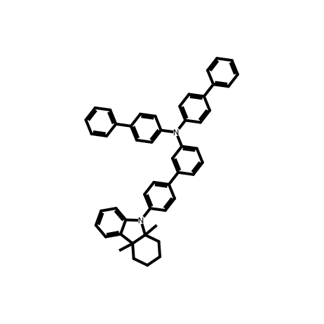 CC12CCCCC1(C)N(c1ccc(-c3cccc(N(c4ccc(-c5ccccc5)cc4)c4ccc(-c5ccccc5)cc4)c3)cc1)c1ccccc12